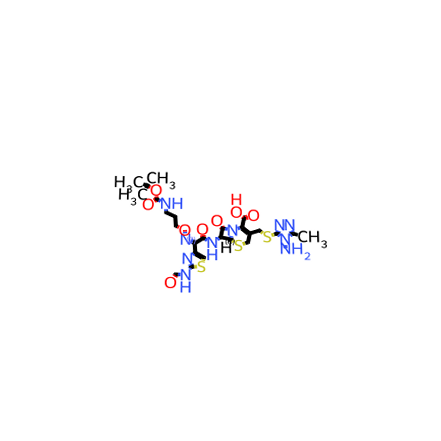 Cc1nnc(SCC2=C(C(=O)O)N3C(=O)C(NC(=O)/C(=N\OCCCNC(=O)OC(C)(C)C)c4csc(NC=O)n4)[C@H]3SC2)n1N